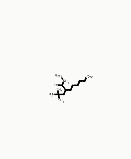 CCCCCCCCCCCCCCCC(CC(C)(C)N)C(CC)[SiH2]OC